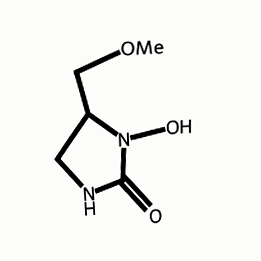 COCC1CNC(=O)N1O